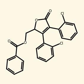 O=C1OC(COC(=O)c2ccccc2)C(c2ccccc2Cl)=C1c1ccccc1Cl